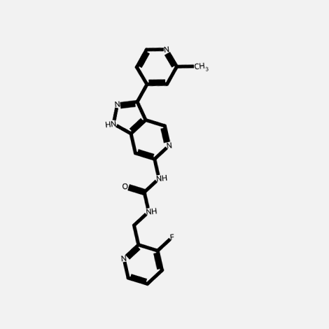 Cc1cc(-c2n[nH]c3cc(NC(=O)NCc4ncccc4F)ncc23)ccn1